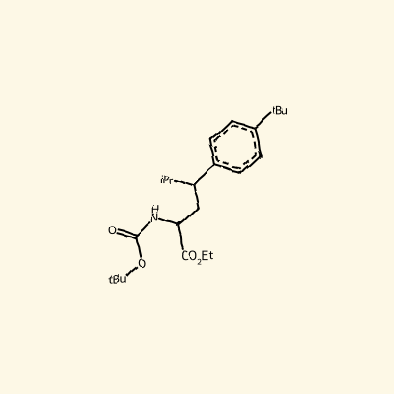 CCOC(=O)C(CC(c1ccc(C(C)(C)C)cc1)C(C)C)NC(=O)OC(C)(C)C